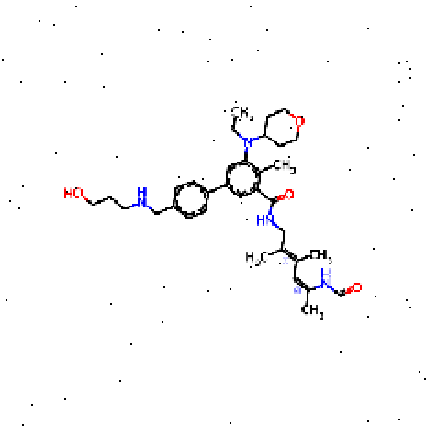 CCN(c1cc(-c2ccc(CNCCCO)cc2)cc(C(=O)NC/C(C)=C(C)/C=C(/C)NC=O)c1C)C1CCOCC1